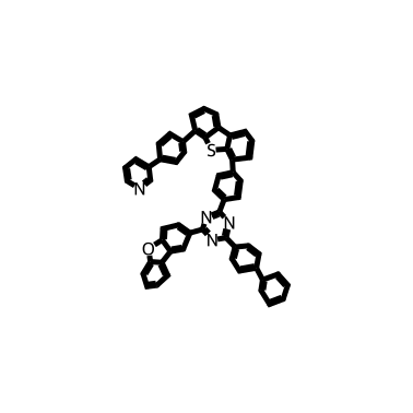 c1ccc(-c2ccc(-c3nc(-c4ccc(-c5cccc6c5sc5c(-c7ccc(-c8cccnc8)cc7)cccc56)cc4)nc(-c4ccc5oc6ccccc6c5c4)n3)cc2)cc1